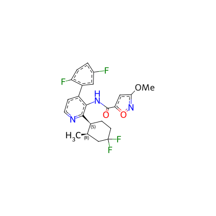 COc1cc(C(=O)Nc2c(-c3cc(F)ccc3F)ccnc2[C@H]2CCC(F)(F)C[C@H]2C)on1